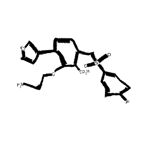 NCCOc1c(-c2ccoc2)ccc(CS(=O)(=O)c2ccc(F)cc2)c1C(=O)O